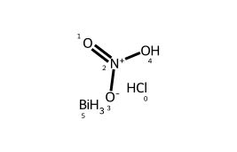 Cl.O=[N+]([O-])O.[BiH3]